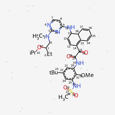 CCC(CN(C)c1nccc(NC2C=CC(C(=O)C(=O)Nc3cc(C(C)(C)C)cc(NS(C)(=O)=O)c3OC)=C3C=CC=CC32)n1)OC(C)C